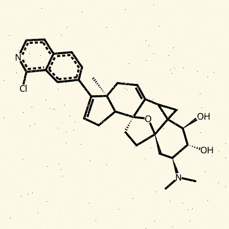 CN(C)[C@H]1C[C@@]23CC[C@@]4(O2)C(=CC[C@]2(C)C(c5ccc6ccnc(Cl)c6c5)=CCC24)C2CC23[C@@H](O)[C@@H]1O